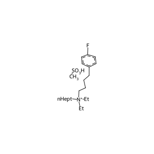 CCCCCCC[N+](CC)(CC)CCCCc1ccc(F)cc1.CS(=O)(=O)O